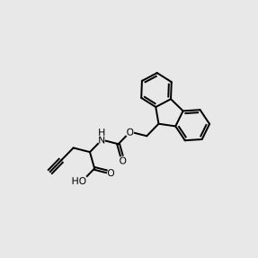 C#CCC(NC(=O)OCC1c2ccccc2-c2ccccc21)C(=O)O